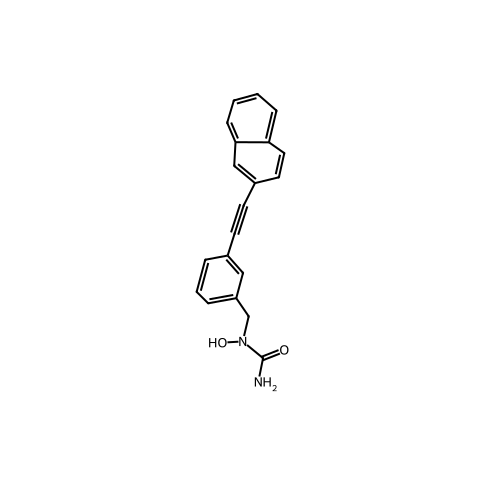 NC(=O)N(O)Cc1cccc(C#Cc2ccc3ccccc3c2)c1